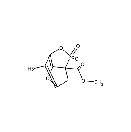 COC(=O)C12Cc3oc1c(c3S)OS2(=O)=O